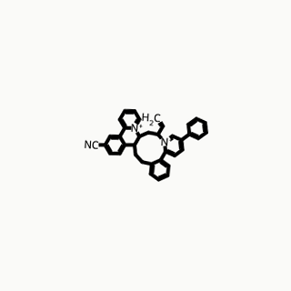 C=CC1CC2C(CCc3ccccc3-c3ccc(-c4ccccc4)c[n+]31)c1ccc(C#N)cc1-c1cccc[n+]12